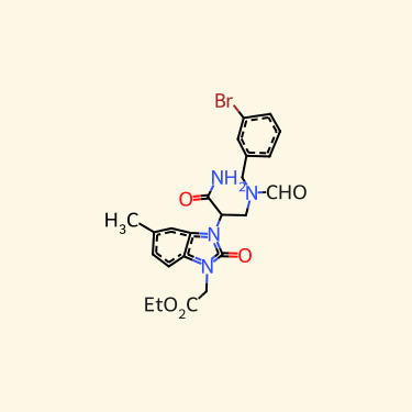 CCOC(=O)Cn1c(=O)n(C(CN(C=O)Cc2cccc(Br)c2)C(N)=O)c2cc(C)ccc21